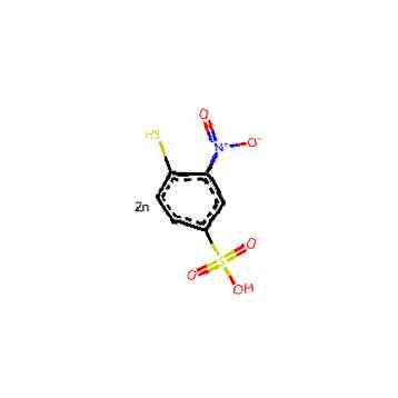 O=[N+]([O-])c1cc(S(=O)(=O)O)ccc1S.[Zn]